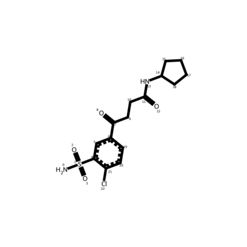 NS(=O)(=O)c1cc(C(=O)CCC(=O)NC2CCCC2)ccc1Cl